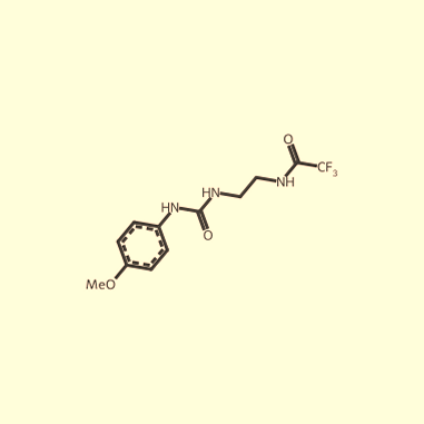 COc1ccc(NC(=O)NCCNC(=O)C(F)(F)F)cc1